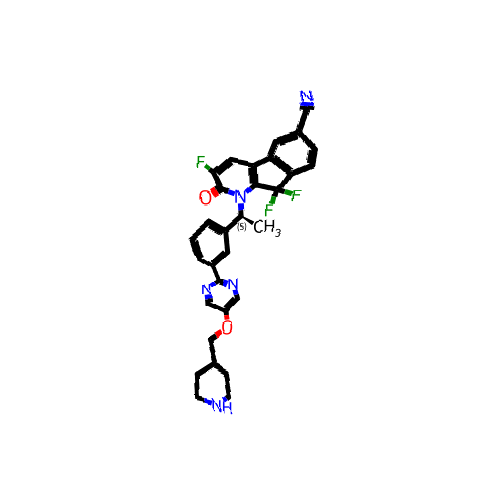 C[C@@H](c1cccc(-c2ncc(OCC3CCNCC3)cn2)c1)n1c2c(cc(F)c1=O)-c1cc(C#N)ccc1C2(F)F